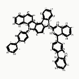 c1ccc(-c2ccc(-n3c4ccc5c(c6ccccc6n5-c5nc(-c6ccc7c(c6)oc6ccccc67)c6ccccc6n5)c4c4ccc5ccccc5c43)cc2)cc1